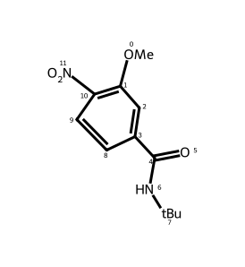 COc1cc(C(=O)NC(C)(C)C)ccc1[N+](=O)[O-]